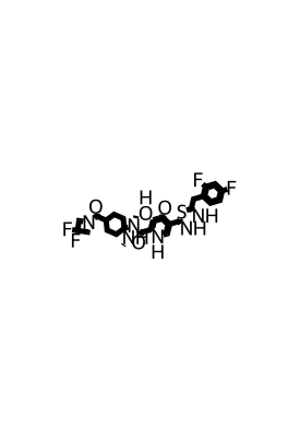 CNC1(N(C)C(=O)c2[nH]cc(C(=N)SC(=N)Cc3ccc(F)cc3F)c(=O)c2O)CCC(C(=O)N2CC(F)(F)C2)CC1